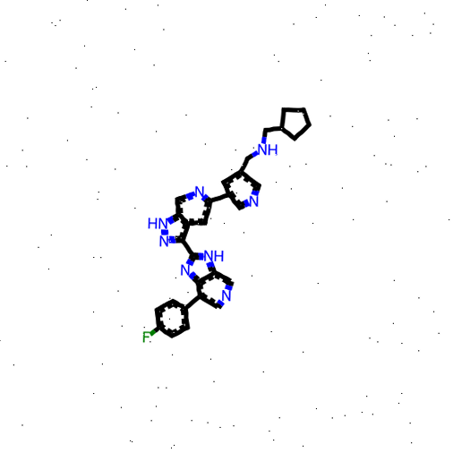 Fc1ccc(-c2cncc3[nH]c(-c4n[nH]c5cnc(-c6cncc(CNCC7CCCC7)c6)cc45)nc23)cc1